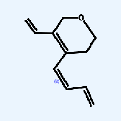 C=C/C=C\C1=C(C=C)COCC1